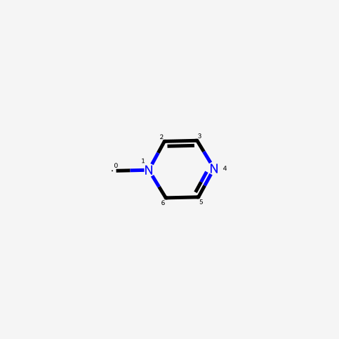 [CH2]N1C=CN=CC1